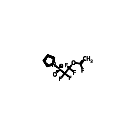 C=C(F)OC(F)(F)C(F)(F)S(=O)(=O)n1cccc1